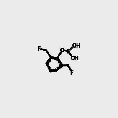 OB(O)Oc1c(CF)cccc1CF